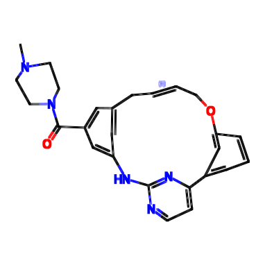 CN1CCN(C(=O)c2cc3cc(c2)Nc2nccc(n2)-c2cccc(c2)OC/C=C/C3)CC1